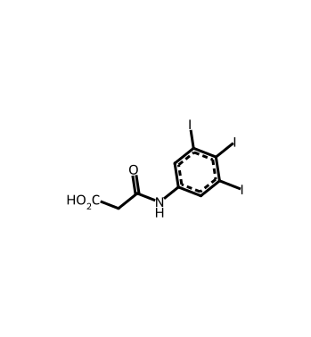 O=C(O)CC(=O)Nc1cc(I)c(I)c(I)c1